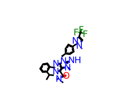 CC(C)c1ccccc1-c1nc(C(=O)N(C)C)c2c(n1)n(Cc1ccc(-c3nc(C(F)(F)F)cn3C)cc1)c(=N)n2C